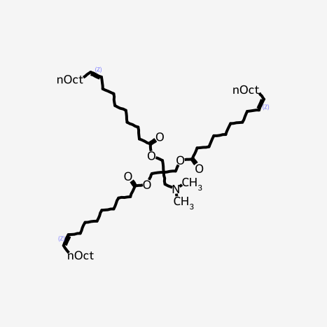 CCCCCCCC/C=C\CCCCCCCC(=O)OCC(COC(=O)CCCCCCC/C=C\CCCCCCCC)(COC(=O)CCCCCCC/C=C\CCCCCCCC)CN(C)C